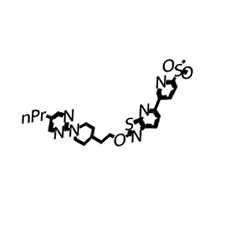 CCCc1cnc(N2CCC(CCOc3nc4ccc(-c5ccc(S(C)(=O)=O)nc5)nc4s3)CC2)nc1